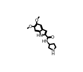 COc1cc2cc(C(=O)NC3CCNC3)[nH]c2cc1OC